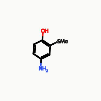 CSc1cc(N)ccc1O